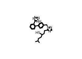 CC(C)CCC(S)CCc1ncnn1Cc1ccc(-c2ccccc2-c2nnn[nH]2)cc1